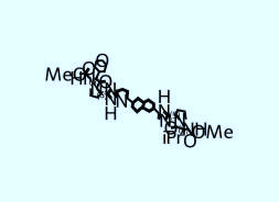 COC(=O)N[C@H](C(=O)N1CCC[C@H]1c1ncc(-c2ccc3cc(-c4ccc5nc([C@@H]6CCCN6C(=O)[C@@H](NC(=O)OC)C6CCOCC6)[nH]c5n4)ccc3c2)[nH]1)C(C)C